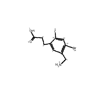 NCc1cc(CCC(=O)O)c(F)cc1Br